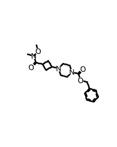 CON(C)C(=O)C1CC(N2CCN(C(=O)OCc3ccccc3)CC2)C1